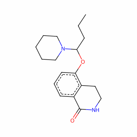 CCCC(Oc1cccc2c1CCNC2=O)N1CCCCC1